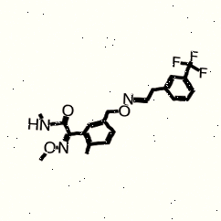 CNC(=O)C(=NOC)c1cc(CON=CCc2cccc(C(F)(F)F)c2)ccc1C